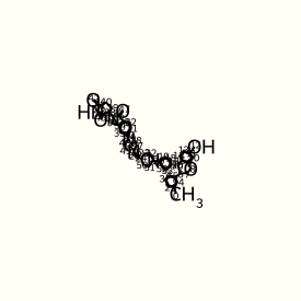 Cc1cccc(C2COc3cc(O)ccc3[C@H]2c2ccc(N3CCC(CN4CCN(c5ccc6c(c5)CN(C5CCC(=O)NC5=O)C6=O)CC4)CC3)cc2)c1